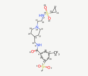 CS(=O)(=O)c1cc(C(=O)NCC2CCN(CCNS(=O)(=O)C3CC3)CC2)cc(C(F)(F)F)c1